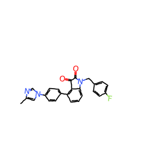 Cc1cn(-c2ccc(-c3cccc4c3C(=O)C(=O)N4Cc3ccc(F)cc3)cc2)cn1